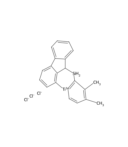 Cc1cccc([SiH2]C2c3ccccc3-c3ccc[c]([Ti+3])c32)c1C.[Cl-].[Cl-].[Cl-]